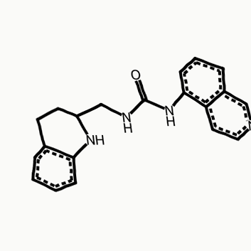 O=C(NCC1CCc2ccccc2N1)Nc1cccc2cnccc12